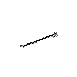 O=P(O)(O)CCCCCCCCCCCCCCCCCCCCO